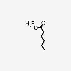 CCCCCC(=O)OP